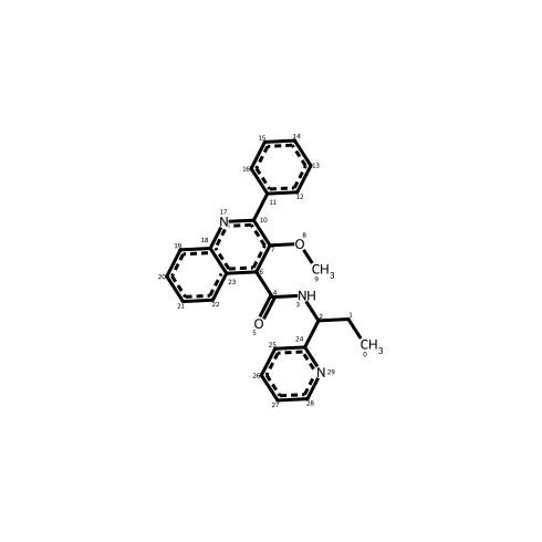 CCC(NC(=O)c1c(OC)c(-c2ccccc2)nc2ccccc12)c1ccccn1